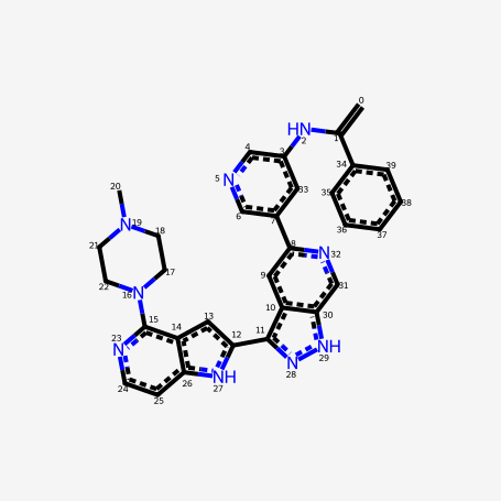 C=C(Nc1cncc(-c2cc3c(-c4cc5c(N6CCN(C)CC6)nccc5[nH]4)n[nH]c3cn2)c1)c1ccccc1